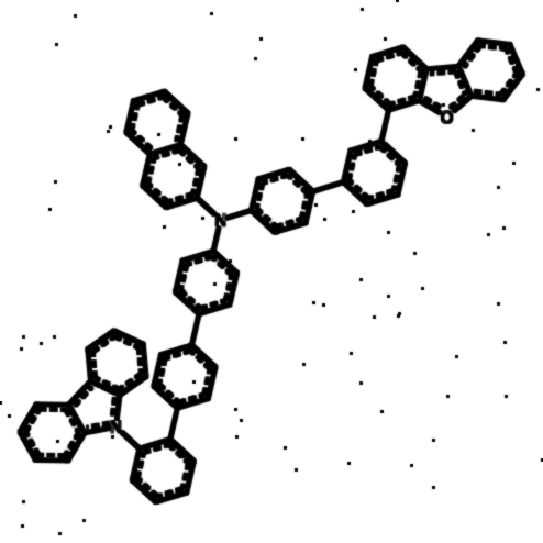 c1cc(-c2ccc(N(c3ccc(-c4ccc(-c5ccccc5-n5c6ccccc6c6ccccc65)cc4)cc3)c3ccc4ccccc4c3)cc2)cc(-c2cccc3c2oc2ccccc23)c1